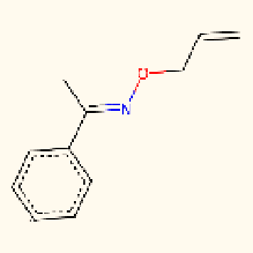 C=CCO/N=C(\C)c1cc[c]cc1